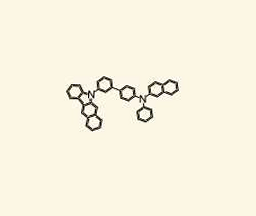 c1ccc(N(c2ccc(-c3cccc(-n4c5ccccc5c5cc6ccccc6cc54)c3)cc2)c2ccc3ccccc3c2)cc1